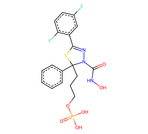 O=C(NO)N1N=C(c2cc(F)ccc2F)SC1(CCCOP(=O)(O)O)c1ccccc1